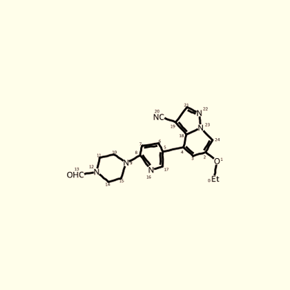 CCOc1cc(-c2ccc(N3CCN(C=O)CC3)nc2)c2c(C#N)cnn2c1